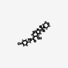 O=C(NCc1ccc(Cl)cc1)c1cnc2sc(S(=O)(=O)N3CCOCC3)cc2c1O